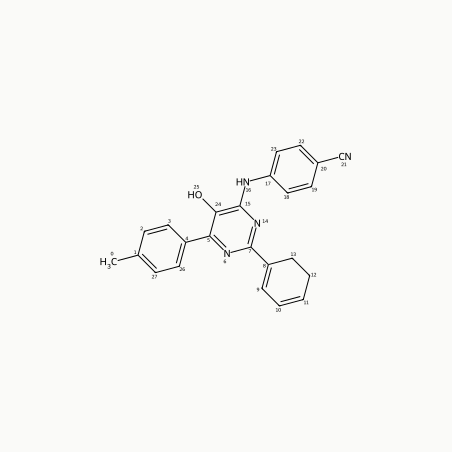 Cc1ccc(-c2nc(C3=CC=CCC3)nc(Nc3ccc(C#N)cc3)c2O)cc1